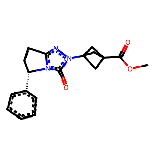 COC(=O)C12CC(n3nc4n(c3=O)[C@H](c3ccccc3)CC4)(C1)C2